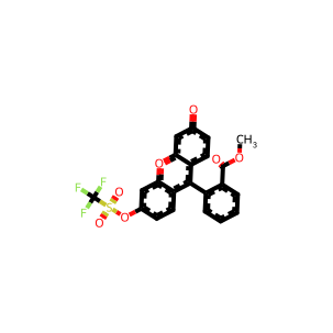 COC(=O)c1ccccc1-c1c2ccc(=O)cc-2oc2cc(OS(=O)(=O)C(F)(F)F)ccc12